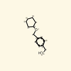 CCc1ccc(COC2CCCCC2)cc1